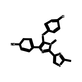 Cc1nc(-c2nc(C3=CCC(C#N)C=C3)c(Sc3ccc(Cl)cc3)n2C)cs1